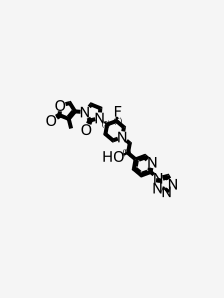 CC1=C(N2CCN([C@H]3CCN(C[C@H](O)c4ccc(-n5cnnn5)nc4)C[C@@H]3F)C2=O)COC1=O